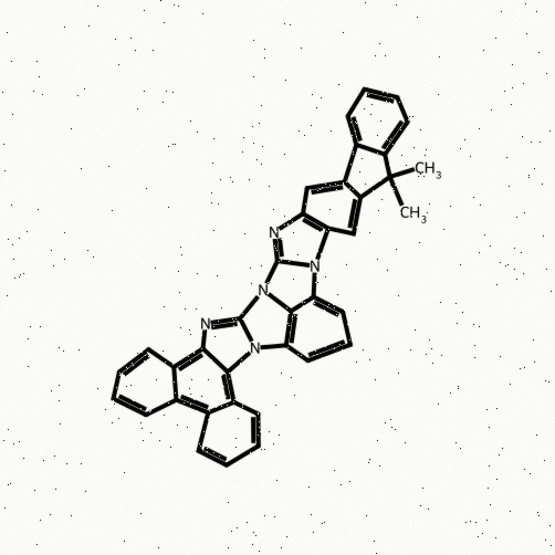 CC1(C)c2ccccc2-c2cc3nc4n(c3cc21)c1cccc2c1n4c1nc3c4ccccc4c4ccccc4c3n21